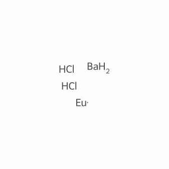 Cl.Cl.[BaH2].[Eu]